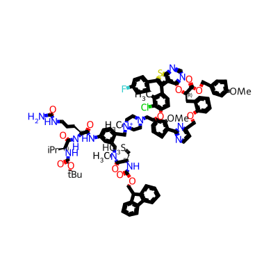 COc1ccc(COC(=O)[C@@H](Cc2ccccc2OCc2ccnc(-c3ccccc3OC)n2)Oc2ncnc3sc(-c4ccc(F)cc4)c(-c4ccc(OCCN5CC[N+](C)(Cc6ccc(NC(=O)[C@H](CCCNC(N)=O)NC(=O)[C@@H](NC(=O)OC(C)(C)C)C(C)C)cc6CN(C)C(=O)[C@H](CS(=O)(=O)O)NC(=O)OCC6c7ccccc7-c7ccccc76)CC5)c(Cl)c4C)c23)cc1